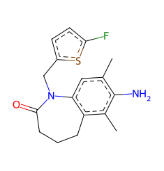 Cc1cc2c(c(C)c1N)CCCC(=O)N2Cc1ccc(F)s1